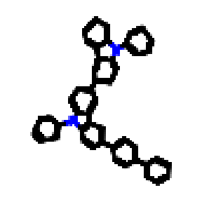 c1ccc(-n2c3ccc(-c4ccc(-c5ccccc5)cc4)cc3c3cc(-c4ccc5c(c4)c4ccccc4n5-c4ccccc4)ccc32)cc#1